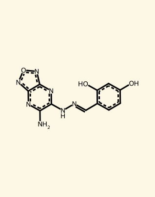 Nc1nc2nonc2nc1NN=Cc1ccc(O)cc1O